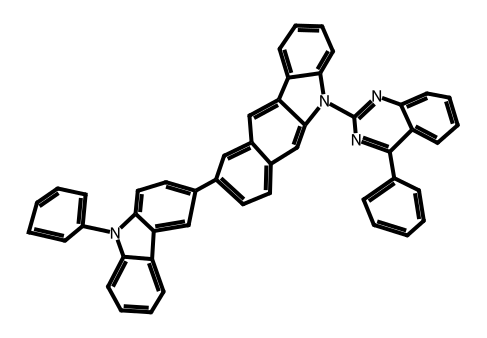 c1ccc(-c2nc(-n3c4ccccc4c4cc5cc(-c6ccc7c(c6)c6ccccc6n7-c6ccccc6)ccc5cc43)nc3ccccc23)cc1